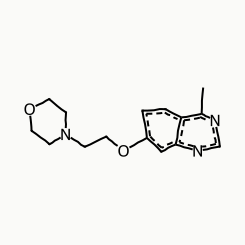 Cc1ncnc2cc(OCCN3CCOCC3)ccc12